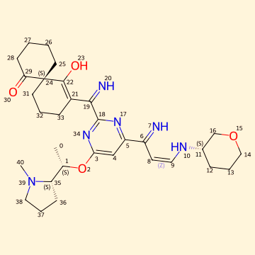 C[C@H](Oc1cc(C(=N)/C=C\N[C@H]2CCCOC2)nc(C(=N)C2=C(O)[C@]3(CCCCC3=O)CCC2)n1)[C@@H]1CCCN1C